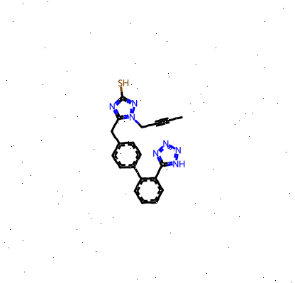 CC#CCn1nc(S)nc1Cc1ccc(-c2ccccc2-c2nnn[nH]2)cc1